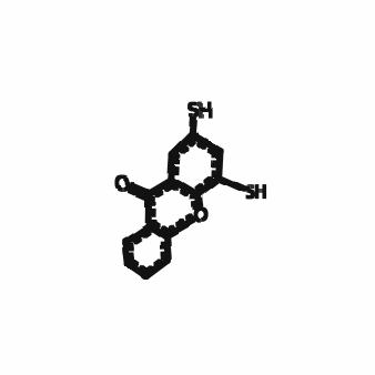 O=c1c2ccccc2oc2c(S)cc(S)cc12